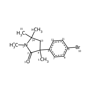 CN1C(=O)C(C)(c2ccc(Br)cc2)CC1(C)C